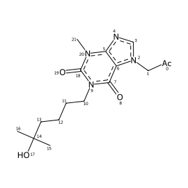 CC(=O)Cn1cnc2c1c(=O)n(CCCCC(C)(C)O)c(=O)n2C